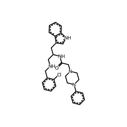 O=C(CN1CCN(c2ccccc2)CC1)NC(CNCc1ccccc1Cl)Cc1c[nH]c2ccccc12